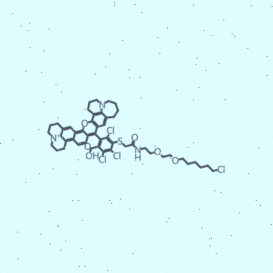 O=C(CSc1c(Cl)c(Cl)c(C(=O)O)c(C2=c3ccc4c5c6c(cc4c3Oc3c2cc2c4c3CCCN4CCCC2)CCC[N+]=6CCC5)c1Cl)NCCOCCOCCCCCCCl